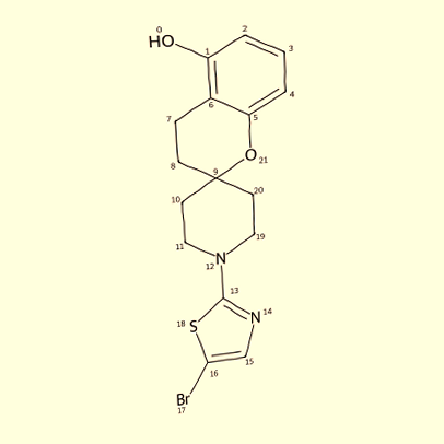 Oc1cccc2c1CCC1(CCN(c3ncc(Br)s3)CC1)O2